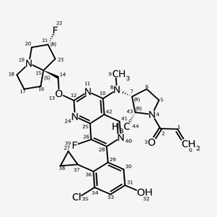 C=CC(=O)N1CC[C@@H](N(C)c2nc(OC[C@@]34CCCN3C[C@H](F)C4)nc3c(F)c(-c4cc(O)cc(Cl)c4C4CC4)ncc23)[C@H]1C